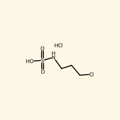 Cl.O=S(=O)(O)NCCCCl